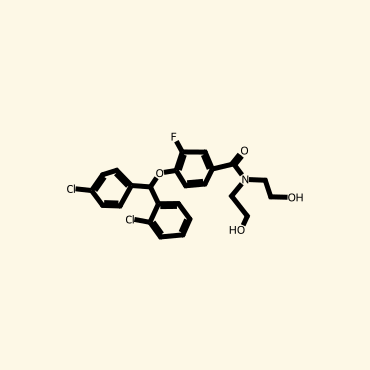 O=C(c1ccc(OC(c2ccc(Cl)cc2)c2ccccc2Cl)c(F)c1)N(CCO)CCO